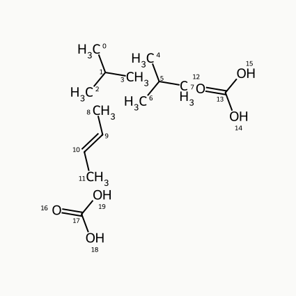 CC(C)C.CC(C)C.CC=CC.O=C(O)O.O=C(O)O